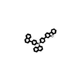 C1=CC2=C(CC1)C1=CC=C(C3=CC=C(N(c4ccc(-c5cccc6ccccc56)cc4)c4cccc5ccccc45)CC3)CC1O2